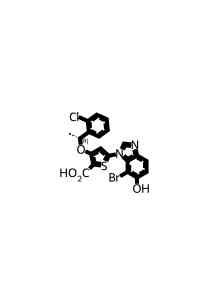 C[C@@H](Oc1cc(-n2cnc3ccc(O)c(Br)c32)sc1C(=O)O)c1ccccc1Cl